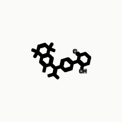 CC(C)=C(c1ccc(C2=C(O)CCCC2=O)cc1)c1cc2c(cc1C)C(C)(C)C=CC2(C)C